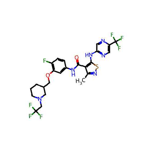 Cc1nsc(Nc2cnc(C(F)(F)F)cn2)c1C(=O)Nc1ccc(F)c(OCC2CCCN(CC(F)(F)F)C2)c1